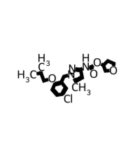 Cc1cc(NC(=O)OC2CCOC2)nn1Cc1cc(Cl)ccc1OCC(C)C